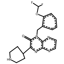 O=c1c(C2CCNCC2)nc2nccnc2n1Cc1ccccc1OC(F)F